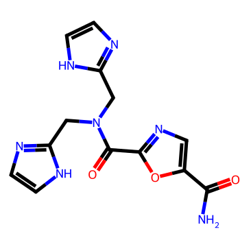 NC(=O)c1cnc(C(=O)N(Cc2ncc[nH]2)Cc2ncc[nH]2)o1